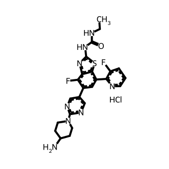 CCNC(=O)Nc1nc2c(F)c(-c3cnc(N4CCC(N)CC4)nc3)cc(-c3ncccc3F)c2s1.Cl